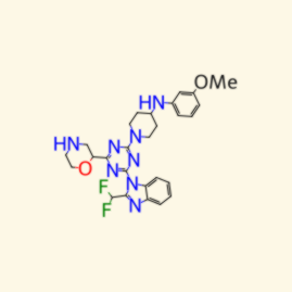 COc1cccc(NC2CCN(c3nc(C4CNCCO4)nc(-n4c(C(F)F)nc5ccccc54)n3)CC2)c1